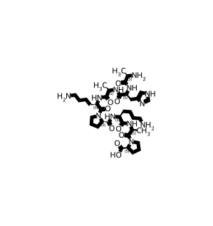 C[C@H](N)C(=O)N[C@@H](Cc1c[nH]cn1)C(=O)N[C@@H](C)C(=O)N[C@@H](CCCCN)C(=O)N1CCC[C@H]1C(=O)N[C@@H](CCCCN)C(=O)N[C@@H](C)C(=O)N1CCC[C@H]1C(=O)O